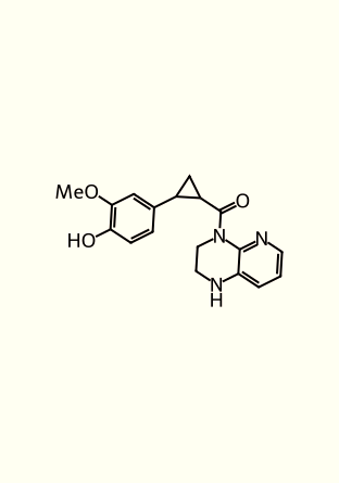 COc1cc(C2CC2C(=O)N2CCNc3cccnc32)ccc1O